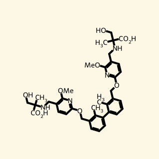 COc1nc(OCc2cccc(-c3cccc(COc4ccc(CNC(C)(CO)C(=O)O)c(OC)n4)c3C)c2C)ccc1CNC(C)(CO)C(=O)O